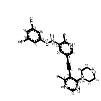 Cc1ncc(C#Cc2c(C)ncnc2N2CCOCC2)cc1NSc1cc(F)cc(F)c1